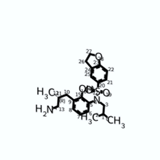 CC(C)CN(c1cccc(C[C@@H](C)CN)c1O)S(=O)(=O)c1ccc2c(c1)CCO2